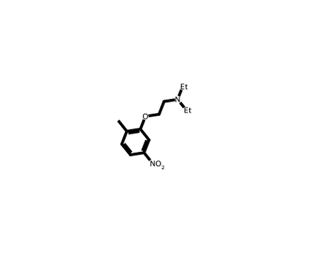 CCN(CC)CCOc1cc([N+](=O)[O-])ccc1C